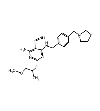 COCC(C)Oc1nc(N)c(C=N)c(NCc2ccc(CN3CCCC3)cc2)n1